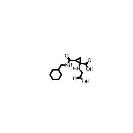 O=C(O)CNC1(C(=O)O)CC1C(=O)NCC1CCCCC1